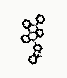 c1ccc(N2c3ccccc3B3c4ccccc4N(c4ccc5sc6ccccc6c5c4)c4cccc2c43)cc1